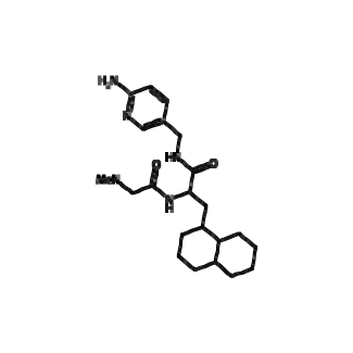 CNCC(=O)NC(CC1CCCC2CCCCC21)C(=O)NCc1ccc(N)nc1